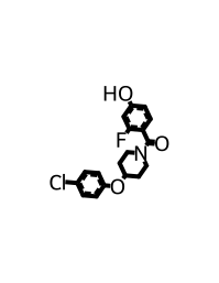 O=C(c1ccc(O)cc1F)N1CCC(Oc2ccc(Cl)cc2)CC1